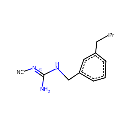 CC(C)Cc1cccc(CN/C(N)=N/C#N)c1